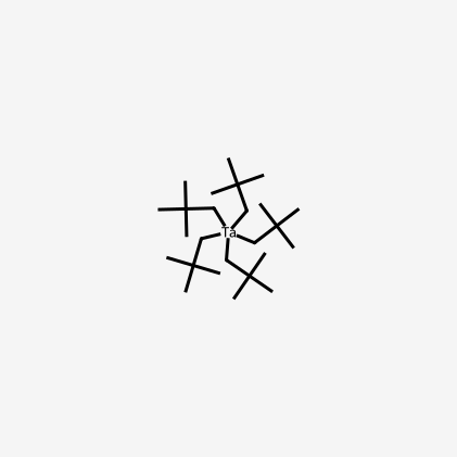 CC(C)(C)[CH2][Ta]([CH2]C(C)(C)C)([CH2]C(C)(C)C)([CH2]C(C)(C)C)[CH2]C(C)(C)C